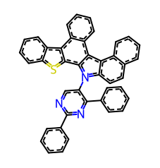 c1ccc(-c2ncc(-n3c4ccc5ccccc5c4c4c5ccccc5c5c6ccccc6sc5c43)c(-c3ccccc3)n2)cc1